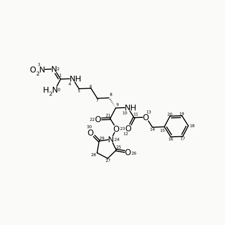 N/C(=N\[N+](=O)[O-])NCCCC[C@H](NC(=O)OCc1ccccc1)C(=O)ON1C(=O)CCC1=O